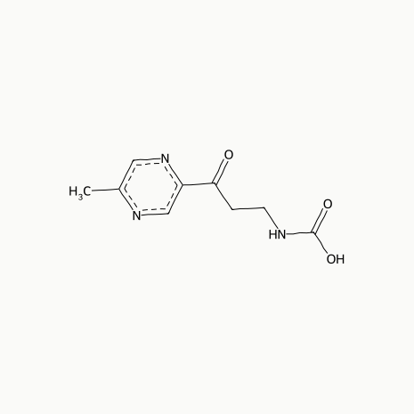 Cc1cnc(C(=O)CCNC(=O)O)cn1